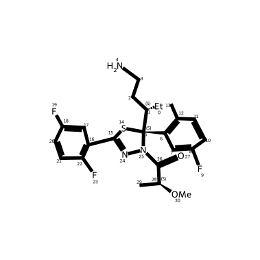 CC[C@@H](CCN)[C@@]1(c2cc(F)ccc2C)SC(c2cc(F)ccc2F)=NN1C(=O)[C@H](C)OC